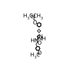 COc1ccc(CC(=O)Nc2cc([C@H]3C[C@@H](c4cccc(OCCN(C)C)c4)C3)n[nH]2)cc1